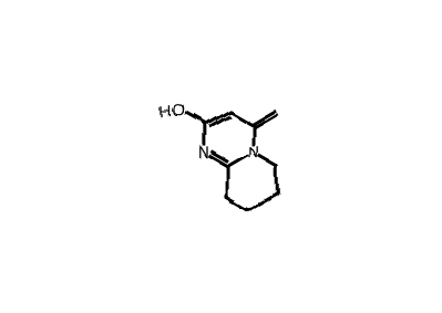 C=C1C=C(O)N=C2CCCCN12